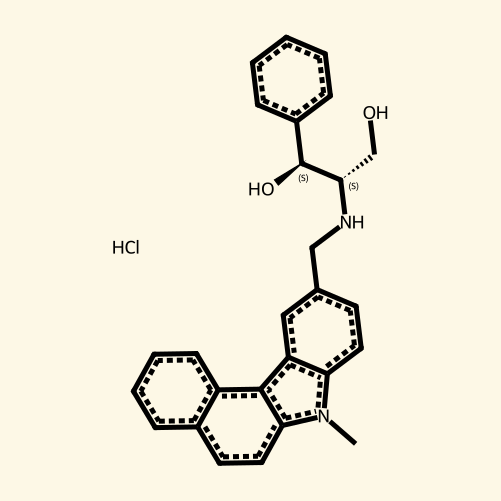 Cl.Cn1c2ccc(CN[C@@H](CO)[C@@H](O)c3ccccc3)cc2c2c3ccccc3ccc21